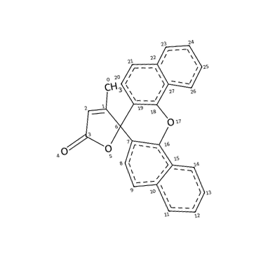 CC1=CC(=O)OC12c1ccc3ccccc3c1Oc1c2ccc2ccccc12